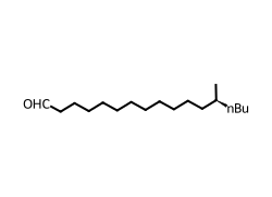 CCCC[C@H](C)CCCCCCCCCCCC=O